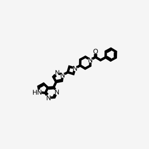 O=C(Cc1ccccc1)N1CCC(N2CC(n3cc(-c4ncnc5[nH]ccc45)cn3)C2)CC1